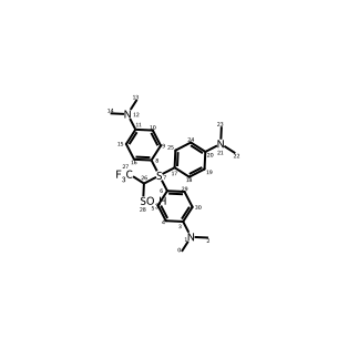 CN(C)c1ccc(S(c2ccc(N(C)C)cc2)(c2ccc(N(C)C)cc2)C(C(F)(F)F)S(=O)(=O)O)cc1